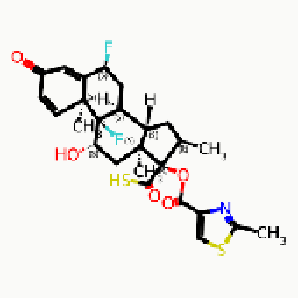 Cc1nc(C(=O)O[C@]2(C(=O)S)[C@H](C)C[C@H]3[C@@H]4C[C@H](F)C5=CC(=O)C=C[C@]5(C)[C@@]4(F)[C@@H](O)C[C@@]32C)cs1